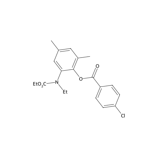 CCOC(=O)N(CC)c1cc(C)cc(C)c1OC(=O)c1ccc(Cl)cc1